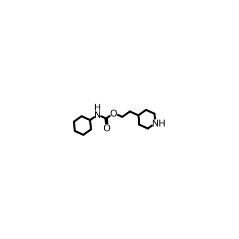 O=C(NC1CCCCC1)OCCC1CCNCC1